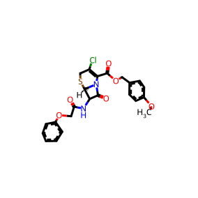 COc1ccc(COC(=O)C2=C(Cl)CS[C@@H]3C(NC(=O)COc4ccccc4)C(=O)N23)cc1